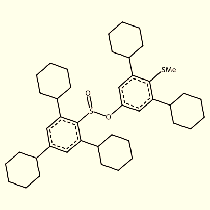 CSc1c(C2CCCCC2)cc(OS(=O)c2c(C3CCCCC3)cc(C3CCCCC3)cc2C2CCCCC2)cc1C1CCCCC1